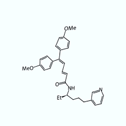 CC[C@H](CCCc1cccnc1)NC(=O)/C=C/C=C(c1ccc(OC)cc1)c1ccc(OC)cc1